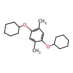 Cc1cc(OC2CCCCC2)c(C)cc1OC1CCCCC1